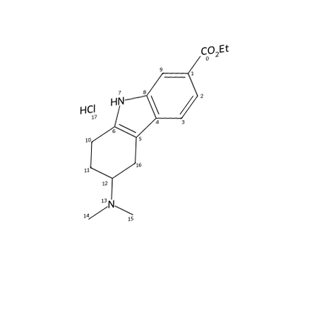 CCOC(=O)c1ccc2c3c([nH]c2c1)CCC(N(C)C)C3.Cl